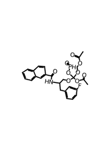 CC(=O)OCOC(OCC(Cc1cccc(F)c1)NC(=O)c1ccc2ccccc2c1)(O[PH2]=O)OC(C)=O